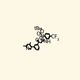 Cc1cc(C)c(-c2cccc(C(=O)CC(=O)Nc3cc(C(F)(F)F)ccc3NC(=O)OC(C)(C)C)c2)cn1